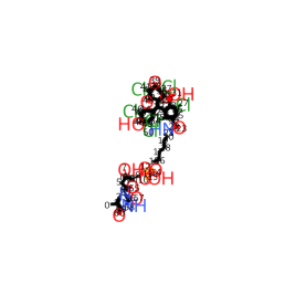 Cc1cn([C@H]2C[C@@H](O)[C@@H](COP(=O)(O)OCCCCCCNC(=O)c3cc(Cl)c(C(=O)O)c(-c4c5cc(Cl)c(=O)c(Cl)c-5oc5c(Cl)c(O)c(Cl)cc45)c3Cl)O2)c(=O)[nH]c1=O